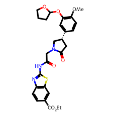 CCOC(=O)c1ccc2nc(NC(=O)CN3C[C@H](c4ccc(OC)c(OC5CCCO5)c4)CC3=O)sc2c1